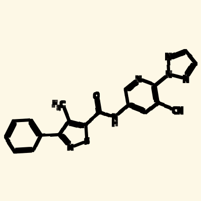 N#Cc1cc(NC(=O)c2snc(-c3ccccc3)c2C(F)(F)F)cnc1-n1nccn1